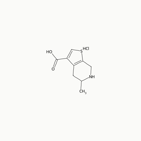 CC1Cc2c(C(=O)O)csc2CN1.Cl